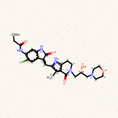 COCC(=O)Nc1cc2c(cc1F)/C(=C/c1[nH]c3c(c1C)C(=O)N(C[C@H](O)CN1CCOCC1)CC3)C(=O)N2